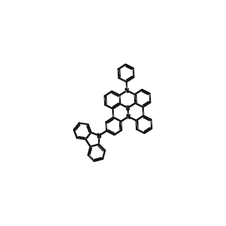 c1ccc(N2c3cccc4c3B3c5c(cccc52)-c2cc(-n5c6ccccc6c6ccccc65)ccc2N3c2ccccc2-4)cc1